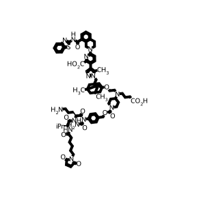 Cc1c(-c2ccc(N3CCc4cccc(C(=O)Nc5nc6ccccc6s5)c4C3)nc2C(=O)O)cnn1CC12CC3(C)CC(C)(C1)CC(OCCN(CCCC(=O)O)C1CCN(C(=O)OCc4ccc(N(C(N)=O)C(=O)[C@H](CCCN)NC(=O)[C@@H](NC(=O)CCCCCN5C(=O)C=CC5=O)C(C)C)cc4)CC1)(C3)C2